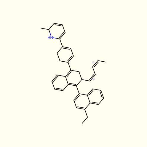 C/C=C\C=C/C1CC(C2=CC=C(C3=CC=CC(C)N3)CC2)=c2ccccc2=C1c1ccc(CC)c2ccccc12